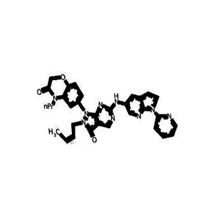 C/C=C\Cn1c(=O)c2cnc(Nc3cnc4c(ccn4-c4ccccn4)c3)nc2n1-c1ccc2c(c1)N(CCC)C(=O)CO2